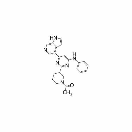 CC(=O)N1CCCC(c2nc(Nc3ccccc3)cc(-c3cncc4[nH]ccc34)n2)C1